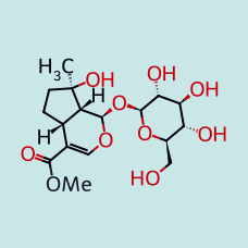 COC(=O)C1=CO[C@H](O[C@@H]2O[C@H](CO)[C@@H](O)[C@H](O)[C@H]2O)[C@@H]2[C@H]1CC[C@@]2(C)O